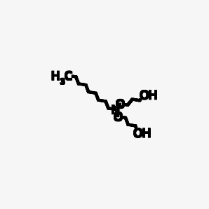 CCCCCCCCCN(OCCCO)OCCCO